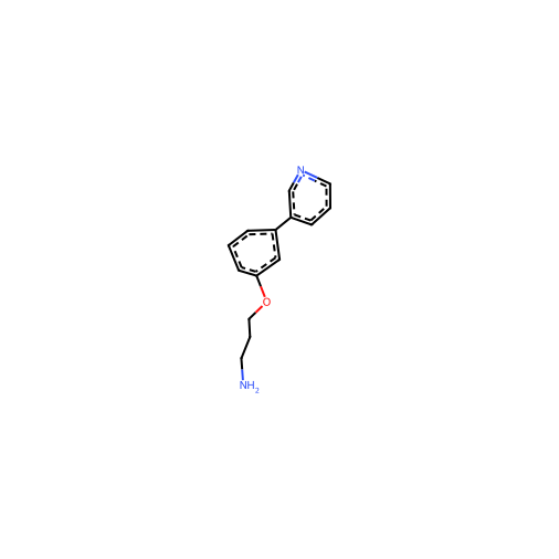 NCCCOc1cccc(-c2cccnc2)c1